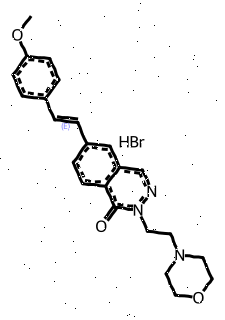 Br.COc1ccc(/C=C/c2ccc3c(=O)n(CCN4CCOCC4)ncc3c2)cc1